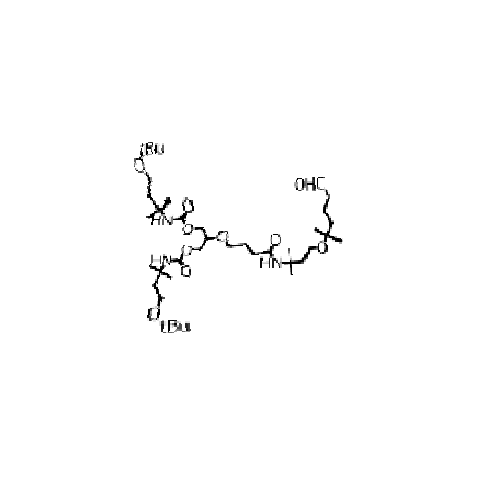 CC(C)(CCOC(C)(C)CCCC=O)NC(=O)CCCOC(COC(=O)NC(C)(C)CCOC(C)(C)C)COC(=O)NC(C)(C)CCOC(C)(C)C